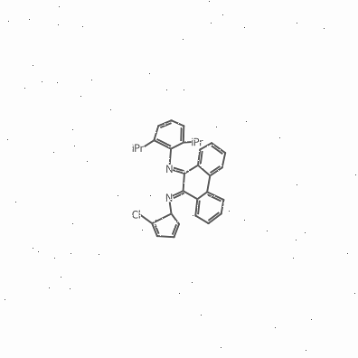 CC(C)c1cccc(C(C)C)c1/N=C1/C(=N/C2C=CC=C2Cl)c2ccccc2-c2ccccc21